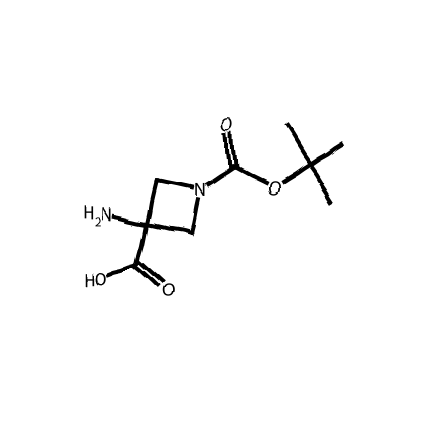 CC(C)(C)OC(=O)N1CC(N)(C(=O)O)C1